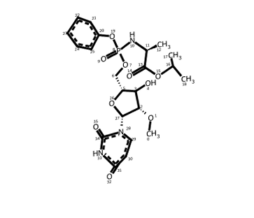 CO[C@H]1C(O)[C@@H](COP(=O)(N[C@@H](C)C(=O)OC(C)C)Oc2ccccc2)O[C@H]1n1ccc(=O)[nH]c1=O